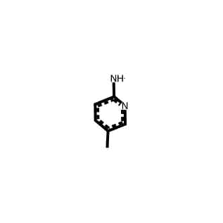 Cc1ccc([NH])nc1